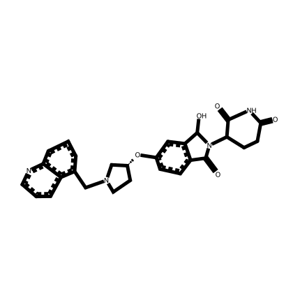 O=C1CCC(N2C(=O)c3ccc(O[C@@H]4CCN(Cc5cccc6ncccc56)C4)cc3C2O)C(=O)N1